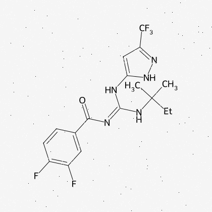 CCC(C)(C)N/C(=N/C(=O)c1ccc(F)c(F)c1)Nc1cc(C(F)(F)F)n[nH]1